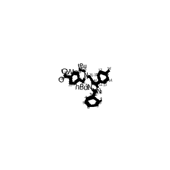 CCCCn1c(-c2ccccc2C)nc(-c2ccc(C)cc2)c1CN(CCC(C)(C)C)Cc1ccc(C(=O)OC)cc1